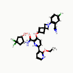 CCOc1ncccc1-c1ccc(OC2CC3(C2)CN(c2ccc(F)cc2C#N)C3)c(C(=O)N[C@@H]2CC(F)(F)C[C@H]2O)n1